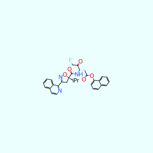 CC(C)[C@@]1(C(=O)N[C@@H](CC(=O)Oc2cccc3ccccc23)C(=O)CF)CC(c2nccc3ccccc23)=NO1